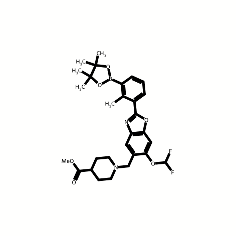 COC(=O)C1CCN(Cc2cc3nc(-c4cccc(B5OC(C)(C)C(C)(C)O5)c4C)oc3cc2OC(F)F)CC1